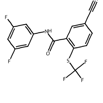 N#Cc1ccc(SC(F)(F)F)c(C(=O)Nc2cc(F)cc(F)c2)c1